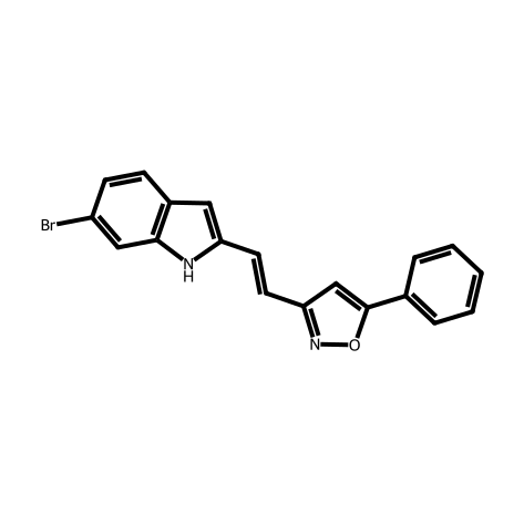 Brc1ccc2cc(C=Cc3cc(-c4ccccc4)on3)[nH]c2c1